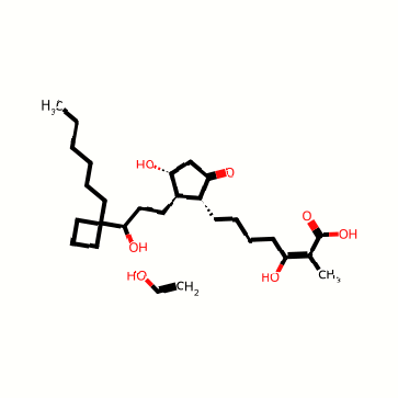 C=CO.CCCCCCC1(C(O)CC[C@H]2[C@H](O)CC(=O)[C@@H]2CCCCC(O)=C(C)C(=O)O)CCC1